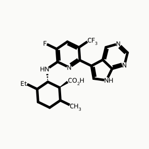 CCC1CCC(C)[C@H](C(=O)O)[C@H]1Nc1nc(-c2c[nH]c3ncncc23)c(C(F)(F)F)cc1F